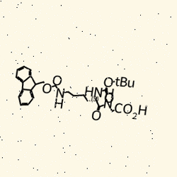 CC(C)(C)OC(=O)N[C@@H](CCCCNC(=O)OCC1c2ccccc2-c2ccccc21)C(=O)NCC(=O)O